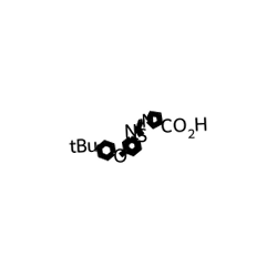 CC(C)(C)C1CCC(Oc2ccc3sc(CN4CC[C@@H](C(=O)O)C4)nc3c2)CC1